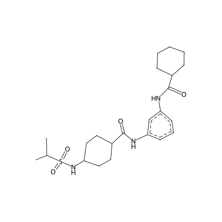 CC(C)S(=O)(=O)NC1CCC(C(=O)Nc2cccc(NC(=O)C3CCCCC3)c2)CC1